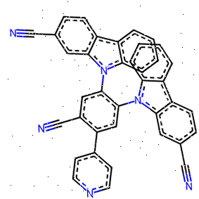 N#Cc1ccc2c3ccccc3n(-c3cc(C#N)c(-c4ccncc4)cc3-n3c4ccccc4c4ccc(C#N)cc43)c2c1